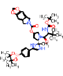 CC(C)(C)OC(=O)N[C@H](C(=O)N1C[C@H](OC(=O)N2Cc3cc4c(cc3C2)OCO4)C[C@H]1C1(C)NC=C(c2ccc(B3OC(C)(C)C(C)(C)O3)cc2)N1)C(C)(C)C